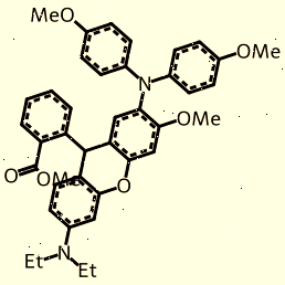 CCN(CC)c1ccc2c(c1)Oc1cc(OC)c(N(c3ccc(OC)cc3)c3ccc(OC)cc3)cc1C2c1ccccc1C(=O)OC